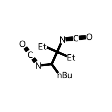 CCCCC(N=C=O)C(CC)(CC)N=C=O